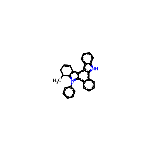 CC1CC=Cc2c1n(-c1ccccc1)c1c3ccccc3c3[nH]c4ccccc4c3c21